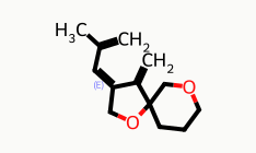 C=C(C)/C=C1/COC2(CCCOC2)C1=C